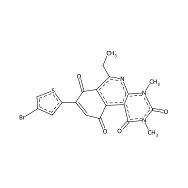 CCc1nc2c(c3c1C(=O)C(c1cc(Br)cs1)=CC3=O)c(=O)n(C)c(=O)n2C